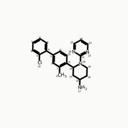 Cc1cc(-c2ccccc2Cl)ccc1C1CC(N)CCN1c1ncccn1